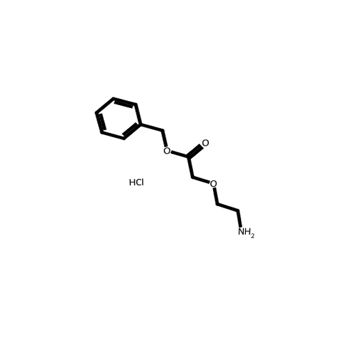 Cl.NCCOCC(=O)OCc1ccccc1